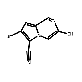 Cc1cn2c(C#N)c(Br)cc2cn1